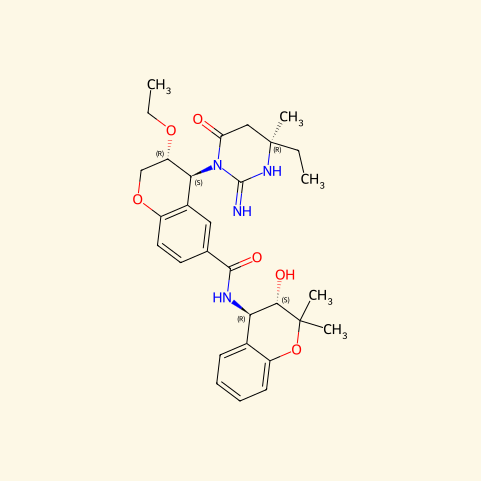 CCO[C@H]1COc2ccc(C(=O)N[C@@H]3c4ccccc4OC(C)(C)[C@H]3O)cc2[C@@H]1N1C(=N)N[C@](C)(CC)CC1=O